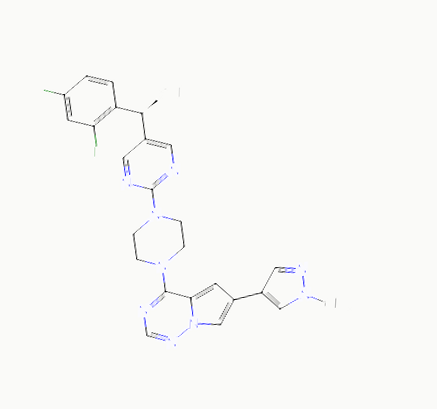 C[C@@H](c1cnc(N2CCN(c3ncnn4cc(-c5cnn(C)c5)cc34)CC2)nc1)c1ccc(F)cc1F